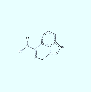 CCN(CC)C1=NCc2c[nH]c3cccc1c23